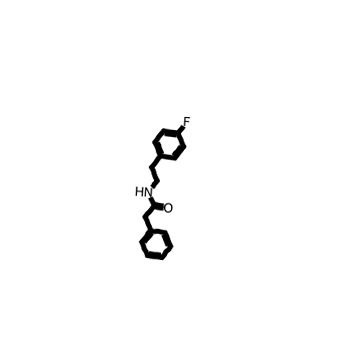 O=C(Cc1ccccc1)NCCc1ccc(F)cc1